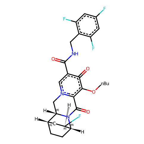 CCCCOc1c2n(cc(C(=O)NCc3c(F)cc(F)cc3F)c1=O)C[C@H]1[C@H]3CC[C@H]([C@H](F)C3)N1C2=O